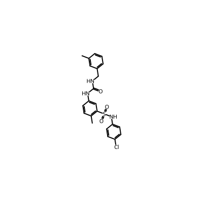 Cc1cccc(CNC(=O)Nc2ccc(C)c(S(=O)(=O)Nc3ccc(Cl)cc3)c2)c1